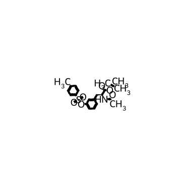 CC(=O)N[C@@H](Cc1cccc(OS(=O)(=O)c2ccc(C)cc2)c1)C(=O)OC(C)(C)C